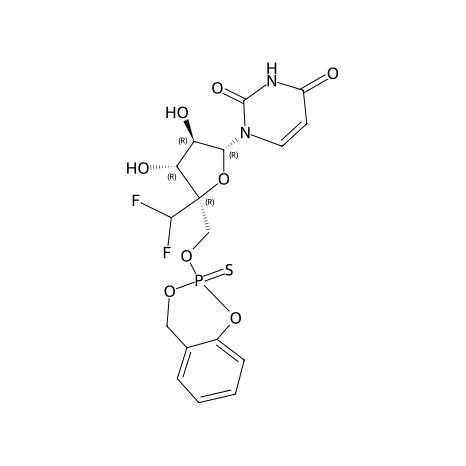 O=c1ccn([C@@H]2O[C@@](COP3(=S)OCc4ccccc4O3)(C(F)F)[C@H](O)[C@H]2O)c(=O)[nH]1